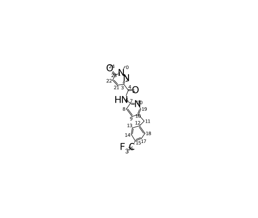 Cn1nc(C(=O)Nc2ccc(Cc3ccc(C(F)(F)F)cc3)cn2)ccc1=O